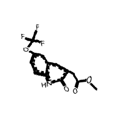 COC(=O)Cc1cc2cc(OC(F)(F)F)ccc2[nH]c1=O